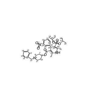 CC1=C(C(=O)OC2CCN(Cc3ccccc3)CC2)C(c2cccc([N+](=O)[O-])c2)C(P(=O)(OC(C)C)OC(C)C)=C(C)N1